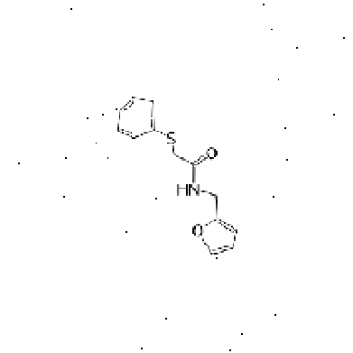 O=C(CSc1cc[c]cc1)NCc1ccco1